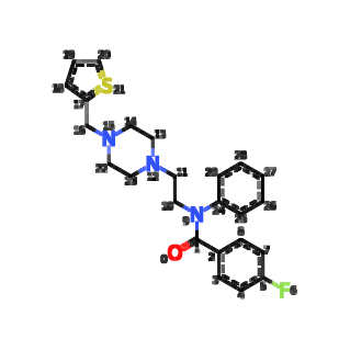 O=C(c1ccc(F)cc1)N(CCN1CCN(Cc2cccs2)CC1)c1ccccc1